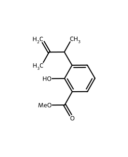 C=C(C)C(C)c1cccc(C(=O)OC)c1O